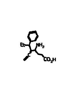 C=C=C(C(N)CCC(=O)O)C(CC)c1ccccc1